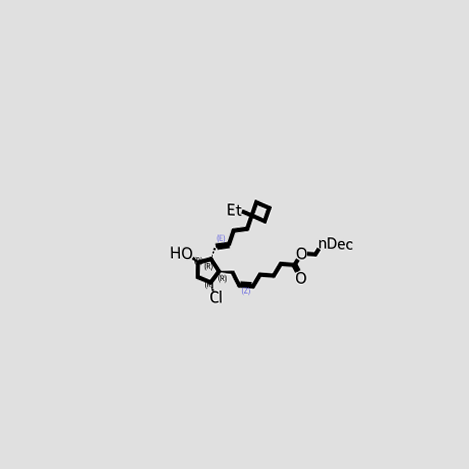 CCCCCCCCCCCOC(=O)CCC/C=C\C[C@@H]1[C@@H](/C=C/CCC2(CC)CCC2)[C@H](O)C[C@H]1Cl